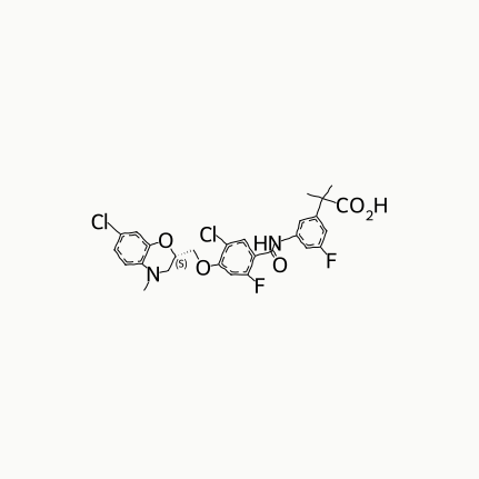 CN1C[C@@H](COc2cc(F)c(C(=O)Nc3cc(F)cc(C(C)(C)C(=O)O)c3)cc2Cl)Oc2cc(Cl)ccc21